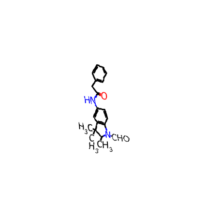 CC1N(C=O)c2ccc(NC(=O)Cc3ccccc3)cc2C1(C)C